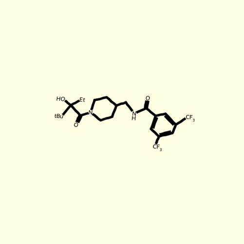 CCC(O)(C(=O)N1CCC(CNC(=O)c2cc(C(F)(F)F)cc(C(F)(F)F)c2)CC1)C(C)(C)C